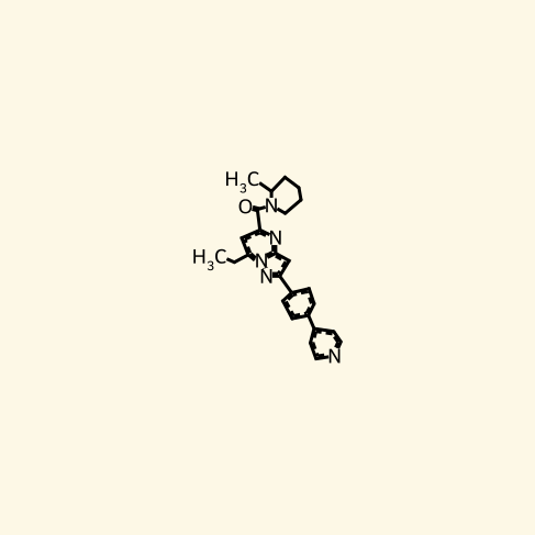 CCc1cc(C(=O)N2CCCCC2C)nc2cc(-c3ccc(-c4ccncc4)cc3)nn12